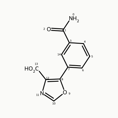 NC(=O)c1cccc(-c2ocnc2C(=O)O)c1